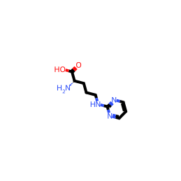 N[C@@H](CCCNc1ncccn1)C(=O)O